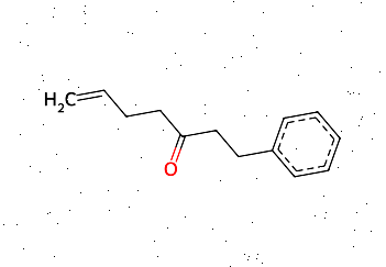 C=CCCC(=O)CCc1ccccc1